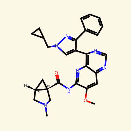 COc1cc2ncnc(-c3cn(CC4CC4)nc3-c3ccccc3)c2nc1NC(=O)[C@]12C[C@H]1CN(C)C2